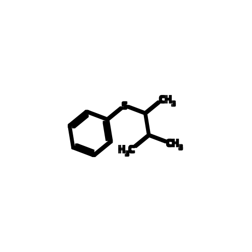 CC(C)C(C)Sc1ccccc1